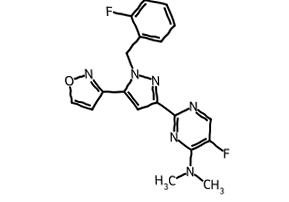 CN(C)c1nc(-c2cc(-c3ccon3)n(Cc3ccccc3F)n2)ncc1F